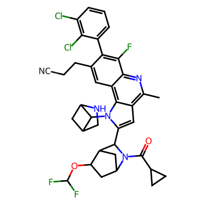 Cc1nc2c(F)c(-c3cccc(Cl)c3Cl)c(CCC#N)cc2c2c1cc(C1C3CC(CC3OC(F)F)N1C(=O)C1CC1)n2C1C2CNC1C2